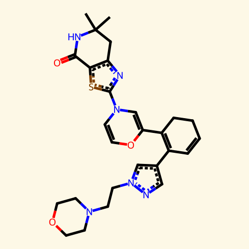 CC1(C)Cc2nc(N3C=COC(C4=C(c5cnn(CCN6CCOCC6)c5)C=CCC4)=C3)sc2C(=O)N1